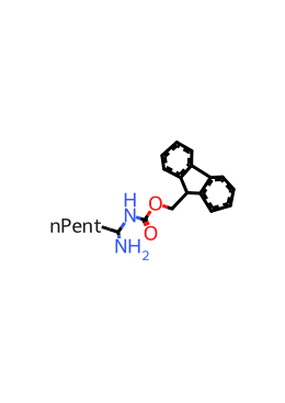 CCCCCC(N)NC(=O)OCC1c2ccccc2-c2ccccc21